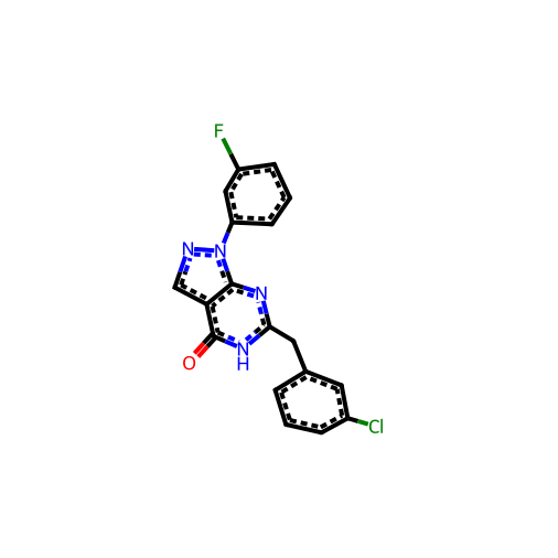 O=c1[nH]c(Cc2cccc(Cl)c2)nc2c1cnn2-c1cccc(F)c1